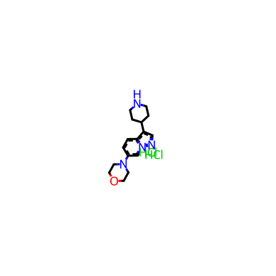 Cl.Cl.c1cc2c(C3CCNCC3)cnn2cc1N1CCOCC1